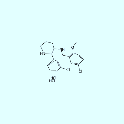 COc1ccc(Cl)cc1CNC1CCCNC1c1cccc(Cl)c1.Cl.Cl